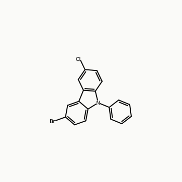 Clc1ccc2c(c1)c1cc(Br)ccc1n2-c1ccccc1